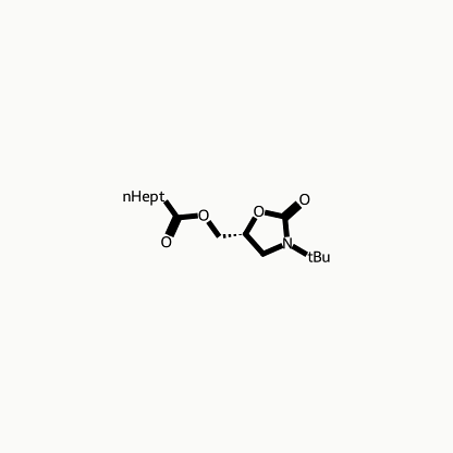 CCCCCCCC(=O)OC[C@H]1CN(C(C)(C)C)C(=O)O1